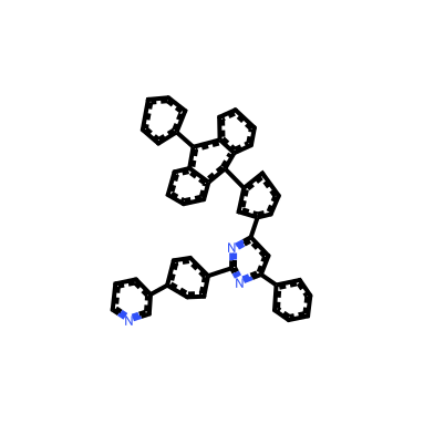 c1ccc(-c2cc(-c3cccc(-c4c5ccccc5c(-c5ccccc5)c5ccccc45)c3)nc(-c3ccc(-c4cccnc4)cc3)n2)cc1